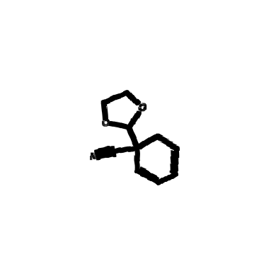 N#CC1(C2OCCO2)C=CC=CC1